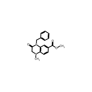 COC(=O)c1ccc2c(c1)N(Cc1ccccc1)C(=O)CN2C